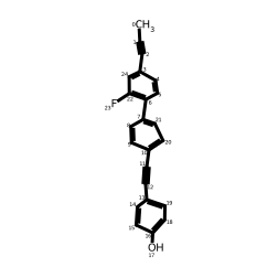 CC#Cc1ccc(-c2ccc(C#Cc3ccc(O)cc3)cc2)c(F)c1